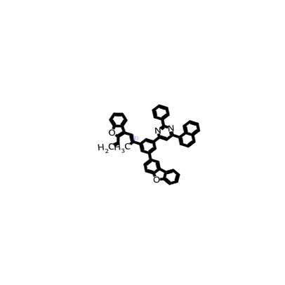 C=Cc1oc2ccccc2c1/C=C(\C)c1cc(-c2ccc3oc4ccccc4c3c2)cc(-c2cc(-c3cccc4ccccc34)nc(-c3ccccc3)n2)c1